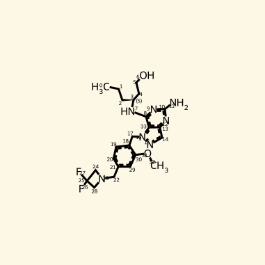 CCC[C@@H](CCO)Nc1nc(N)nc2cnn(Cc3ccc(CN4CC(F)(F)C4)cc3OC)c12